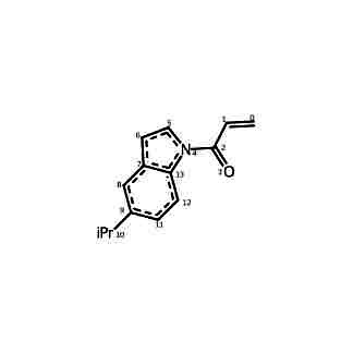 C=CC(=O)n1ccc2cc(C(C)C)ccc21